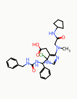 CN(CC(=O)NC1CCCC1)C1=C(CC(=O)O)C(Cl)(C(NC(=O)NCc2ccccc2)c2ccccc2)NC=N1